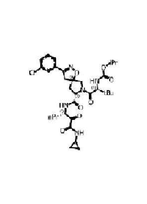 CCC[C@H](NC(=O)[C@@H]1C[C@]2(CC(c3cccc(Cl)c3)=NO2)CN1C(=O)[C@@H](NC(=O)OC(C)C)C(C)(C)C)C(=O)C(=O)NC1CC1